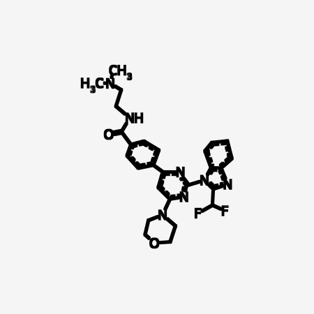 CN(C)CCNC(=O)c1ccc(-c2cc(N3CCOCC3)nc(-n3c(C(F)F)nc4ccccc43)n2)cc1